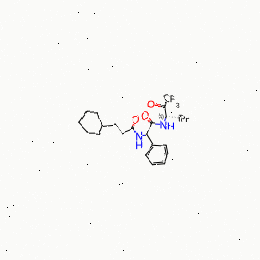 CC(C)[C@H](NC(=O)C(NC(=O)CCC1CCCCC1)c1ccccc1)C(=O)C(F)(F)F